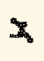 CSc1nc2c(c(N3CCN(Cc4ccccc4)CC3)n1)CCN(c1cc(OCc3ccccc3)cc3ccccc13)C2